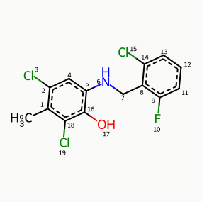 Cc1c(Cl)cc(NCc2c(F)cccc2Cl)c(O)c1Cl